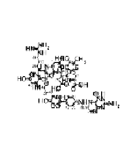 CC(O)[C@@H](C)SSC[C@H](NC(=O)C(CC(=O)O)NC(=O)[C@H](CC(=O)O)NC(=O)[C@H](CCCNC(=N)N)NC(=O)[C@H](CC(=O)O)NC(=O)CC[C@H](NC(=O)c1ccc(NCc2cnc3nc(N)[nH]c(=O)c3n2)cc1)C(=O)O)C(=O)O